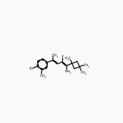 CCc1ccc(/C(C)=C/C(F)=C(\N)C2(C)CC(C)(C)C2)cc1C